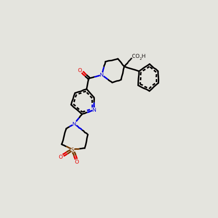 O=C(c1ccc(N2CCS(=O)(=O)CC2)nc1)N1CCC(C(=O)O)(c2ccccc2)CC1